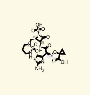 Nc1nc(/C(=N/OC2(C(=O)O)CC2)C(=O)N[C@@H]2C(=O)N(S(=O)(=O)O)[C@@H]2CN2CCCNS2(=O)=O)cs1